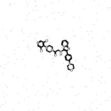 O=C(CNc1c(-c2ccc(N3CCOCC3)cc2)nc2ccccn12)N1CCN(c2c(Cl)cncc2Cl)CC1